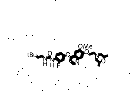 COc1cc2c(Oc3ccc(NC(=O)NCCC(C)(C)C)c(F)c3)ccnc2cc1OCCN1CC(C)OC(C)C1